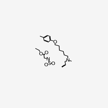 C=CCN(C)CCCCCCOc1ccc(C)cc1.CCOC(=O)CN=S(=O)=O